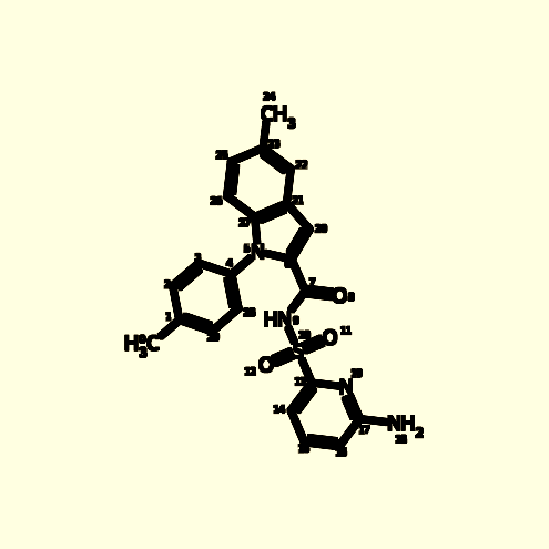 Cc1ccc(-n2c(C(=O)NS(=O)(=O)c3cccc(N)n3)cc3cc(C)ccc32)cc1